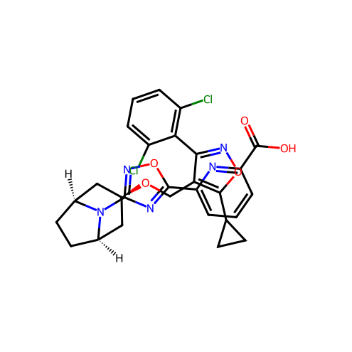 O=C(O)c1cccc(-c2nc(N3[C@@H]4CC[C@H]3C[C@@H](OCc3c(-c5c(Cl)cccc5Cl)noc3C3CC3)C4)no2)n1